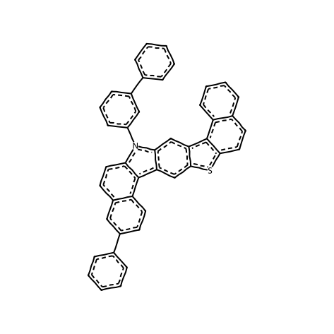 c1ccc(-c2cccc(-n3c4cc5c(cc4c4c6ccc(-c7ccccc7)cc6ccc43)sc3ccc4ccccc4c35)c2)cc1